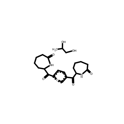 CC(O)CO.O=C1CCCCC(C(=O)c2ccc(C(=O)C3CCCCC(=O)N3)cc2)N1